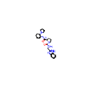 O=C(Nc1ccccc1-n1cccc1)C1CCCN1C(=O)NCc1nc2ccccc2[nH]1